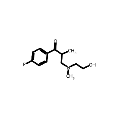 CC(CN(C)CCO)C(=O)c1ccc(F)cc1